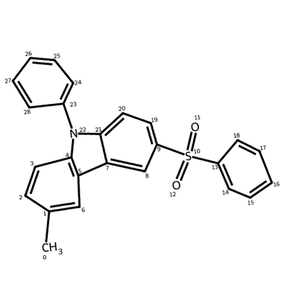 Cc1ccc2c(c1)c1cc(S(=O)(=O)c3ccccc3)ccc1n2-c1ccccc1